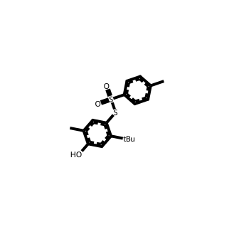 Cc1ccc(S(=O)(=O)Sc2cc(C)c(O)cc2C(C)(C)C)cc1